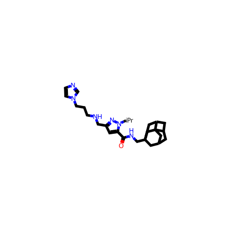 CC(C)n1nc(CNCCCn2ccnc2)cc1C(=O)NCC12CC3CC4CC(C1)C4(C3)C2